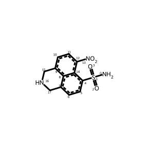 NS(=O)(=O)c1ccc2c3c(ccc([N+](=O)[O-])c13)CNC2